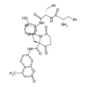 Cc1cc(=O)oc2cc(NC(=O)[C@@]3(Cc4ccc(O)cc4)C(=O)CCC(=O)N3C(=O)[C@@H](NC(=O)[C@H](CC(C)C)NC(=O)[C@@H](N)CC(C)C)C(C)C)ccc12